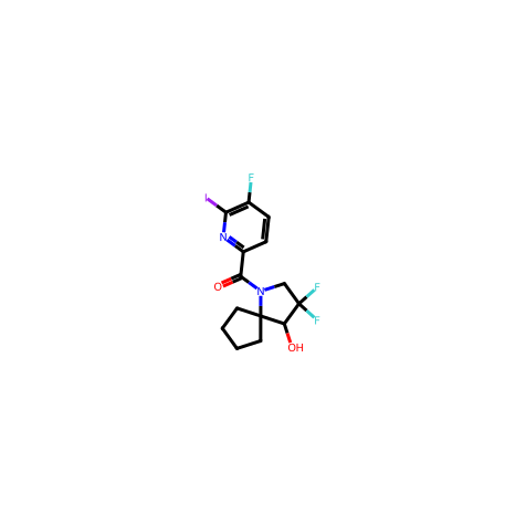 O=C(c1ccc(F)c(I)n1)N1CC(F)(F)C(O)C12CCCC2